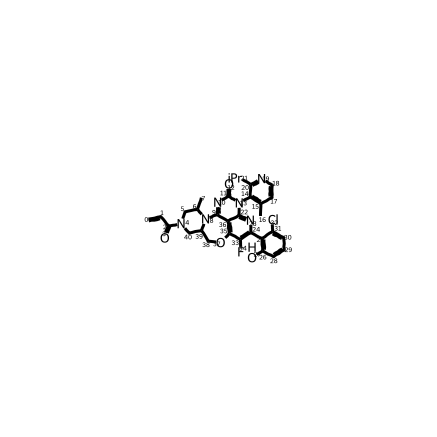 C=CC(=O)N1CC(C)N2c3nc(=O)n(-c4c(C)ccnc4C(C)C)c4nc(-c5c(O)cccc5Cl)c(F)c(c34)OCC2C1